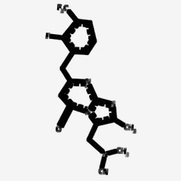 Cc1sc2nc(Cc3cccc(C(F)(F)F)c3F)cc(=O)n2c1CN(C)C#N